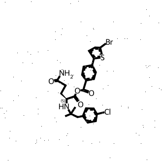 CC(C)(Cc1ccc(Cl)cc1)N[C@@H](CCC(N)=O)C(=O)OC(=O)c1ccc(-c2ccc(Br)s2)cc1